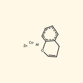 C1=COc2ccccc2C1.[Al].[Co].[Zn]